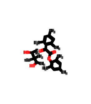 CCCCC(C)(C(C)O)C(C)O.Cc1cc(C)c(OC(=O)C(=O)c2c(C)cc(C)cc2C)c(C)c1